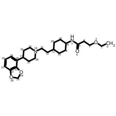 CCOCCC(=O)NC1CCC(CCN2CCC(c3cccc4c3OCO4)CC2)CC1